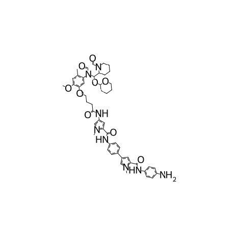 COc1cc(C)c(N(C=O)C(OC2CCCCO2)C2CCCCN2C=O)cc1OCCCC(=O)Nc1cc(C(=O)Nc2ccc(-c3cc(C(=O)Nc4ccc(N)cc4)n(C)c3)cc2)n(C)c1